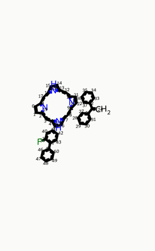 C1=Cc2cc3ccc(cc4nc(cc5ccc(cc1n2)[nH]5)C=C4)[nH]3.C=C(c1ccccc1)c1ccccc1.Fc1ccccc1-c1ccccc1